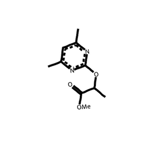 COC(=O)C(C)Oc1nc(C)cc(C)n1